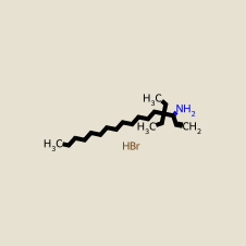 Br.C=CC(N)C(CC)(CC)CCCCCCCCCCCCC